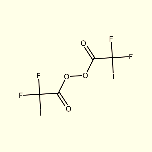 O=C(OOC(=O)C(F)(F)I)C(F)(F)I